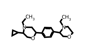 CCN1CCOCC1c1ccc(C2CN(CC)C(C3CC3)CO2)cc1